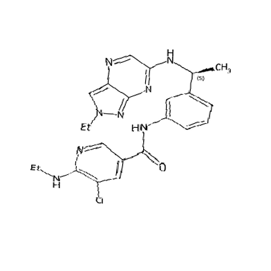 CCNc1ncc(C(=O)Nc2cccc([C@H](C)Nc3cnc4cn(CC)nc4n3)c2)cc1Cl